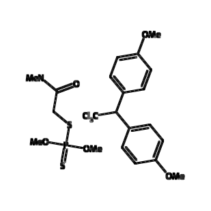 CNC(=O)CSP(=S)(OC)OC.COc1ccc(C(c2ccc(OC)cc2)C(Cl)(Cl)Cl)cc1